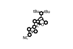 CC(C)(C)c1cc(C2=Cc3c4c5c6c7c(cccc37)-c3cc(-c7cccc8c9cc(C#N)ccc9n(-c9ccccc9)c78)ccc3CC56Oc3ccccc3C(=C2)C4)cc(C(C)(C)C)c1